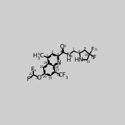 Cc1cc(C(=O)NC[C@H]2CC(F)(F)CN2)nc2c(C(F)(F)F)cc(OC(F)F)cc12